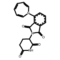 O=C1CCC(N2C(=O)c3cccc(N4C=CC=CC=C4)c3C2=O)C(=O)N1